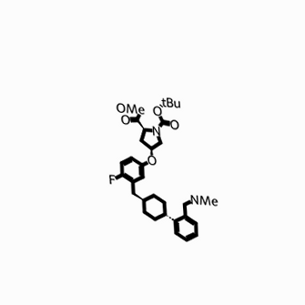 CNCc1ccccc1[C@H]1CC[C@H](Cc2cc(O[C@H]3C[C@@H](C(=O)OC)N(C(=O)OC(C)(C)C)C3)ccc2F)CC1